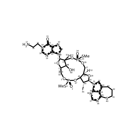 CSP1(=O)OC[C@H]2O[C@@H](n3cnc4c(=O)n(CCN)cnc43)[C@H](OP(=O)(SC)OC[C@H]3O[C@@H](n4cc5c6c(ncnc64)SCCC5)[C@H](F)C3O1)C2O